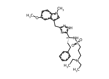 CCN(CC)CCCS(=O)(=O)N[C@H](CCc1ccccc1)c1nc(Cc2cn(C)c3ccc(OC)cc23)n[nH]1